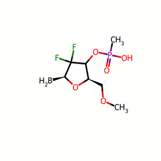 B[C@@H]1O[C@H](COC)C(OP(C)(=O)O)C1(F)F